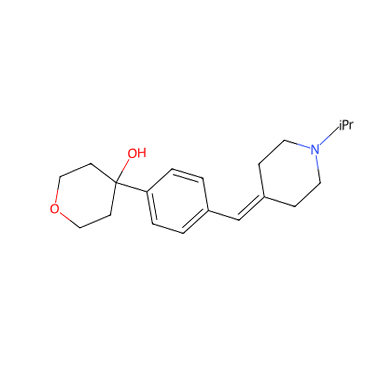 CC(C)N1CCC(=Cc2ccc(C3(O)CCOCC3)cc2)CC1